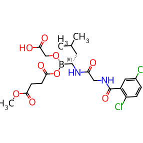 COC(=O)CCC(=O)OB(OCC(=O)O)[C@H](CC(C)C)NC(=O)CNC(=O)c1cc(Cl)ccc1Cl